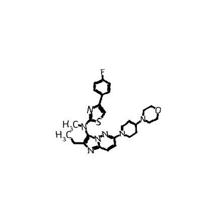 CCc1nc2ccc(N3CCC(N4CCOCC4)CC3)nn2c1N(C)c1nc(-c2ccc(F)cc2)cs1